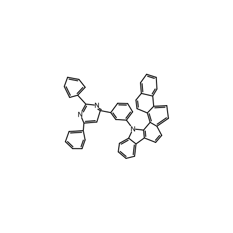 c1ccc(-c2cc(-c3cccc(-n4c5ccccc5c5ccc6ccc7c8ccccc8ccc7c6c54)c3)nc(-c3ccccc3)n2)cc1